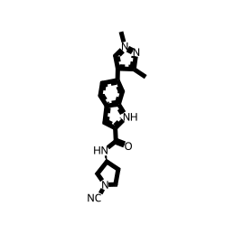 Cc1nn(C)cc1-c1ccc2cc(C(=O)N[C@@H]3CCN(C#N)C3)[nH]c2c1